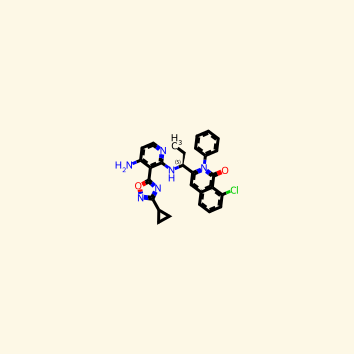 CC[C@H](Nc1nccc(N)c1-c1nc(C2CC2)no1)c1cc2cccc(Cl)c2c(=O)n1-c1ccccc1